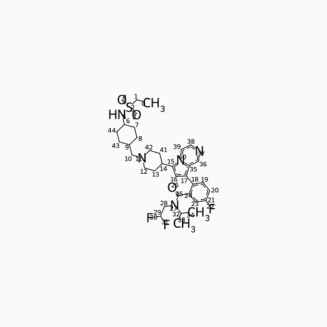 CCS(=O)(=O)NC1CCC(CN2CCC(c3cc(-c4ccc(F)cc4C(=O)N(CC(F)F)C(C)C)c4cnccn34)CC2)CC1